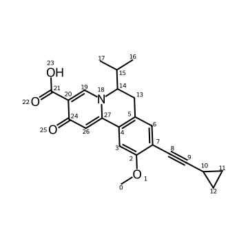 COc1cc2c(cc1C#CC1CC1)CC(C(C)C)n1cc(C(=O)O)c(=O)cc1-2